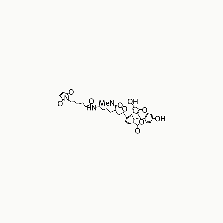 CNC(=O)C(CCCCNC(=O)CCCCCN1C(=O)C=CC1=O)CC(=O)c1ccc2c(c1)C1(OC2=O)c2ccc(O)cc2Oc2cc(O)ccc21